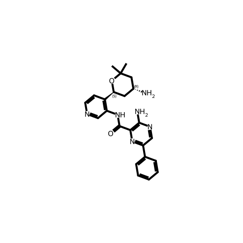 CC1(C)C[C@H](N)C[C@@H](c2ccncc2NC(=O)c2nc(-c3ccccc3)cnc2N)O1